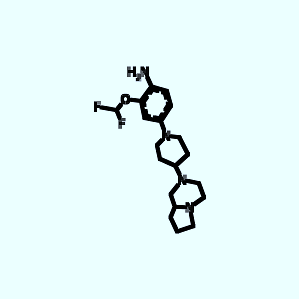 Nc1ccc(N2CCC(N3CCN4CCCC4C3)CC2)cc1OC(F)F